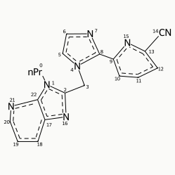 CCCn1c(Cn2ccnc2-c2cccc(C#N)n2)nc2cccnc21